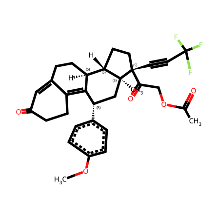 COc1ccc([C@H]2C[C@@]3(C)[C@@H](CC[C@]3(C#CC(F)(F)F)C(=O)COC(C)=O)[C@@H]3CCC4=CC(=O)CCC4=C32)cc1